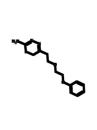 NC1=NN=C(CCOCCOc2ccccc2)CS1